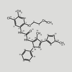 COCCOc1nc(C)c(Cl)cc1NC(=O)Nc1c(C)c(-c2cnn(C)c2)nn1-c1ccccc1